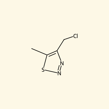 Cc1snnc1CCl